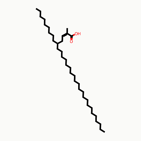 CCCCCCCCCCCCCCCCCCCCCCC(CC=C(C)C(=O)O)CCCCCCCCC